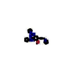 COc1cc2c(NC3CCCC3)nc(N3CCCC3)nc2cc1C#CCN1CCCC1